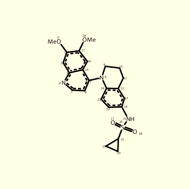 COc1cc2nccc(N3CCCc4cc(NS(=O)(=O)C5CC5)ccc43)c2cc1OC